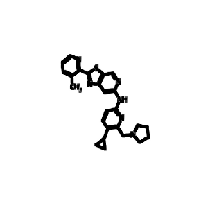 Cc1cccnc1-c1nc2cc(Nc3ccc(C4CC4)c(CN4CCCC4)n3)ncc2s1